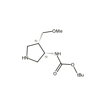 COC[C@H]1CNC[C@H]1NC(=O)OC(C)(C)C